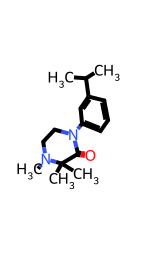 CC(C)c1cccc(N2CCN(C)C(C)(C)C2=O)c1